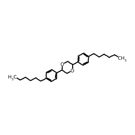 CCCCCCc1ccc(C2COC(c3ccc(CCCCCC)cc3)CO2)cc1